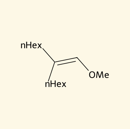 CCCCCCC(=COC)CCCCCC